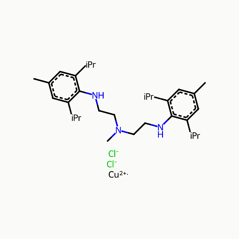 Cc1cc(C(C)C)c(NCCN(C)CCNc2c(C(C)C)cc(C)cc2C(C)C)c(C(C)C)c1.[Cl-].[Cl-].[Cu+2]